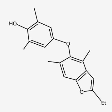 CCc1cc2c(C)c(Oc3cc(C)c(O)c(C)c3)c(C)cc2o1